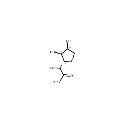 [CH2]CCCCCC(=O)C(O)[C@H]1OC[C@H](O)[C@@H]1O